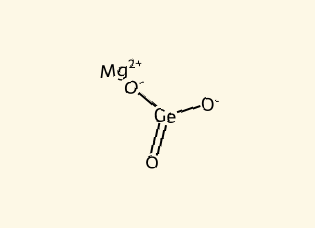 [Mg+2].[O]=[Ge]([O-])[O-]